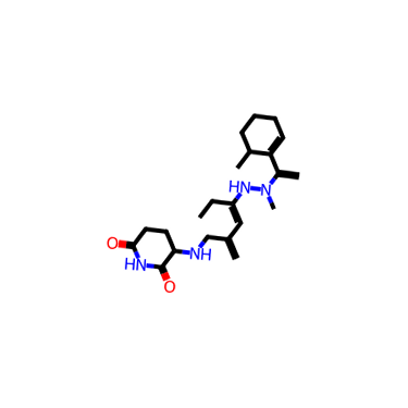 C=C(C=C(CC)NN(C)C(=C)C1=CCCCC1C)CNC1CCC(=O)NC1=O